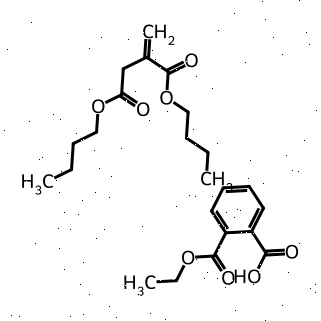 C=C(CC(=O)OCCCC)C(=O)OCCCC.CCOC(=O)c1ccccc1C(=O)O